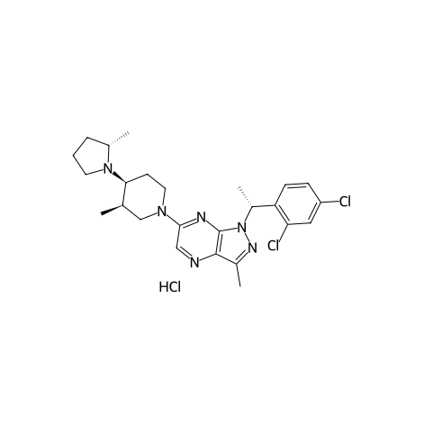 Cc1nn([C@H](C)c2ccc(Cl)cc2Cl)c2nc(N3CC[C@H](N4CCC[C@@H]4C)[C@H](C)C3)cnc12.Cl